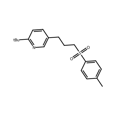 Cc1ccc(S(=O)(=O)CCCc2ccc(C(C)(C)C)nc2)cc1